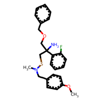 COc1ccc(CN(C)SCC(N)(COCc2ccccc2)c2ccccc2F)cc1